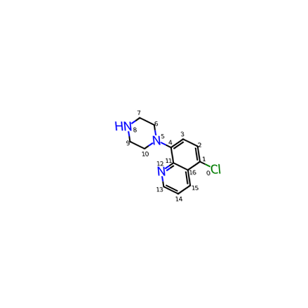 Clc1ccc(N2CCNCC2)c2ncccc12